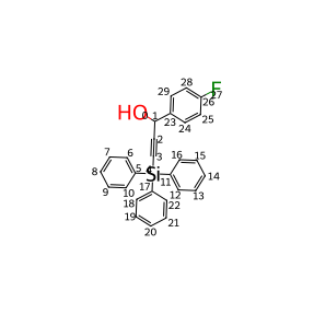 OC(C#C[Si](c1ccccc1)(c1ccccc1)c1ccccc1)c1ccc(F)cc1